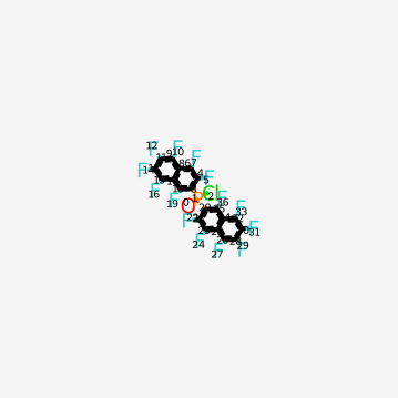 O=P(Cl)(c1c(F)c(F)c2c(F)c(F)c(F)c(F)c2c1F)c1c(F)c(F)c2c(F)c(F)c(F)c(F)c2c1F